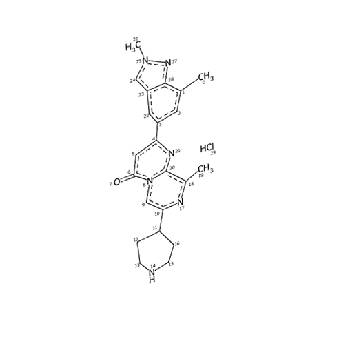 Cc1cc(-c2cc(=O)n3cc(C4CCNCC4)nc(C)c3n2)cc2cn(C)nc12.Cl